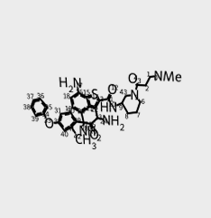 CNCCC(=O)N1CCCC(NC(=O)c2sc3c(N)ccc4c3c2C(N)C(=O)C4(N)c2ccc(Oc3ccccc3)cc2C)C1